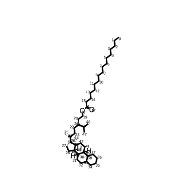 CCCCCCCCCCCCCCCCC(=O)OCC[C@H](CC[C@@H](C)[C@H]1CC[C@H]2[C@@H]3CCC4CCCC[C@]4(C)[C@H]3CC[C@]12C)C(C)C